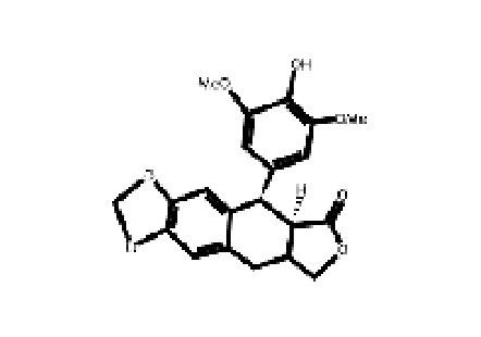 COc1cc([C@@H]2c3cc4c(cc3CC3COC(=O)[C@@H]32)OCO4)cc(OC)c1O